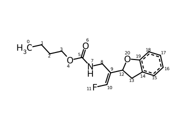 CCCCOC(=O)NCC(=CF)C1Cc2ccccc2O1